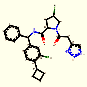 O=C(NC(c1ccccc1)c1ccc(C2CCC2)c(F)c1)C1CC(F)CN1C(=O)Cc1cnn[nH]1